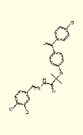 CC(C)(Oc1ccc(C(=O)c2ccc(Cl)cc2)cc1)C(=O)N/N=C/c1ccc(Cl)c(Cl)c1